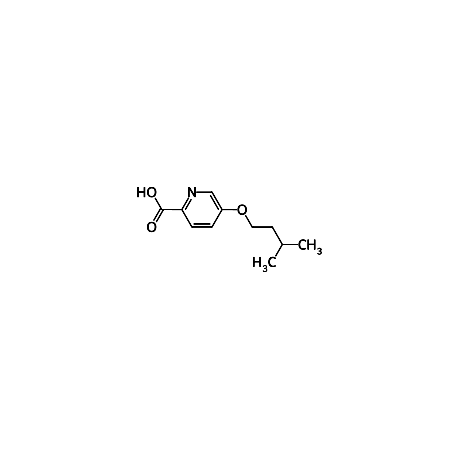 CC(C)CCOc1ccc(C(=O)O)nc1